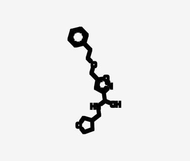 OC(NCC1CCOC1)c1cc(COCCc2ccccc2)on1